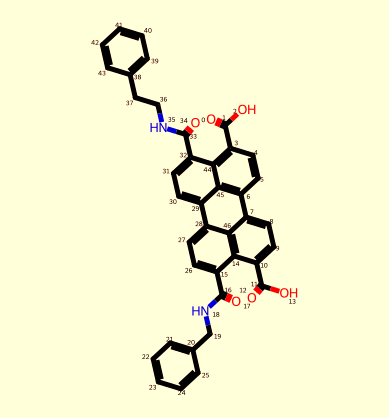 O=C(O)c1ccc2c3ccc(C(=O)O)c4c(C(=O)NCc5ccccc5)ccc(c5ccc(C(=O)NCCc6ccccc6)c1c25)c43